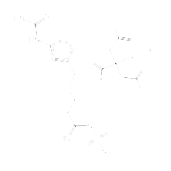 N=C(N)Nc1nc(CSCCC(=N)NS(N)(=O)=O)cs1.O=C([O-])CC(O)(CC(=O)[O-])C(=O)[O-].[Bi+3]